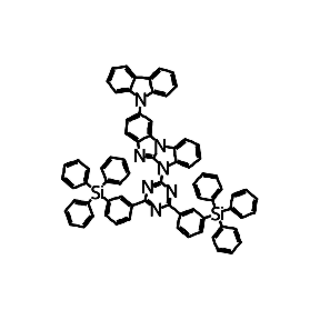 c1ccc([Si](c2ccccc2)(c2ccccc2)c2cccc(-c3nc(-c4cccc([Si](c5ccccc5)(c5ccccc5)c5ccccc5)c4)nc(-n4c5ccccc5n5c6cc(-n7c8ccccc8c8ccccc87)ccc6nc45)n3)c2)cc1